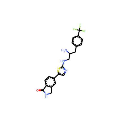 NC(CNc1ncc(-c2ccc3c(c2)CNC3=O)s1)Cc1ccc(C(F)(F)F)cc1